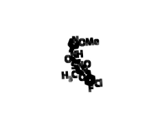 COc1cc(CNC(=O)c2cn3c(=O)n(Cc4ccc(F)c(Cl)c4)c(=O)c(C)c3s2)ccn1